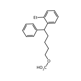 CCc1ccccc1C(CCCCOC(=O)O)c1ccccc1